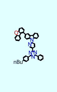 CCCCc1ccc(-c2nc(-c3ccccc3)nc(-c3ccc(-n4c5ccccc5c5cc(-c6cccc7oc8ccccc8c67)ccc54)nc3)n2)cc1